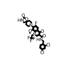 COc1c(N2CCC3(CC2)CNC(=O)O3)c(F)cc2c(=O)c(C(=O)NCc3ccc(Cl)cc3Cl)cn(CC(F)(F)F)c12